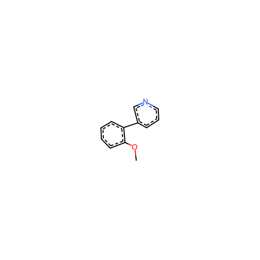 COc1ccccc1-c1cccnc1